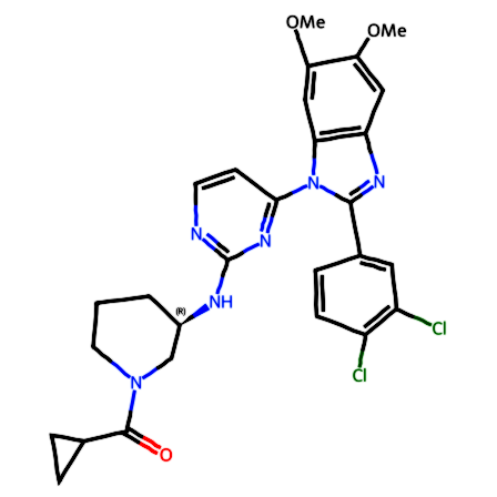 COc1cc2nc(-c3ccc(Cl)c(Cl)c3)n(-c3ccnc(N[C@@H]4CCCN(C(=O)C5CC5)C4)n3)c2cc1OC